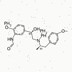 COc1ccc(C[C@@H](C)N(C[C@H](O)c2ccc(OP)c(NC=O)c2)PP)cc1